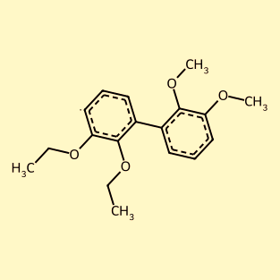 CCOc1[c]ccc(-c2cccc(OC)c2OC)c1OCC